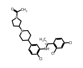 CC(=O)N1CCC(N2CCC(c3ccc(Cl)c(N[C@H](C)c4ccc(Cl)cc4Cl)c3)CC2)C1